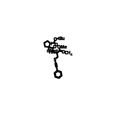 C.CCCCC[C@@]1(C(=O)NC(CSC#Cc2ccccc2)C(=O)OC)CCCN1C(=O)OC(C)(C)C